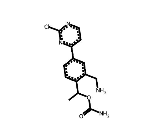 CC(OC(N)=O)c1ccc(-c2ccnc(Cl)n2)cc1CN